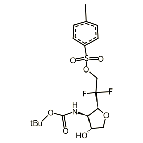 Cc1ccc(S(=O)(=O)OCC(F)(F)[C@H]2OC[C@H](O)[C@H]2NC(=O)OC(C)(C)C)cc1